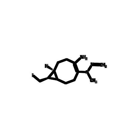 C=NN(C)/C1=C(\N)CC[C@H]2C(CC1)[C@H]2CI